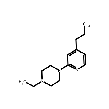 CCCc1ccnc(N2CCN(CC)CC2)c1